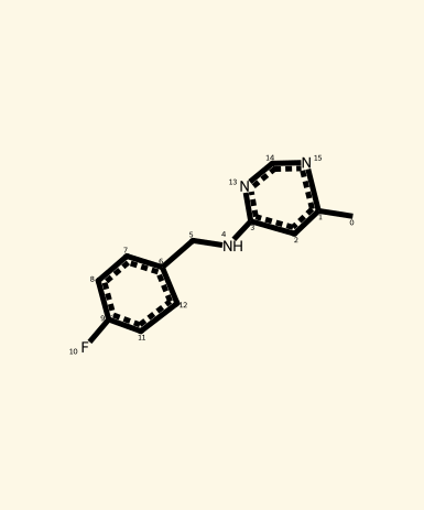 Cc1cc(NCc2ccc(F)cc2)ncn1